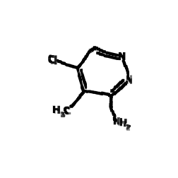 Cc1c(Cl)cnnc1N